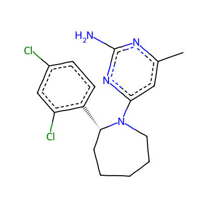 Cc1cc(N2CCCCC[C@@H]2c2ccc(Cl)cc2Cl)nc(N)n1